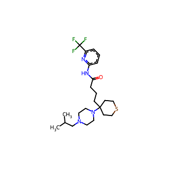 CC(C)CN1CCN(C2(CCCC(=O)Nc3cccc(C(F)(F)F)n3)CCSCC2)CC1